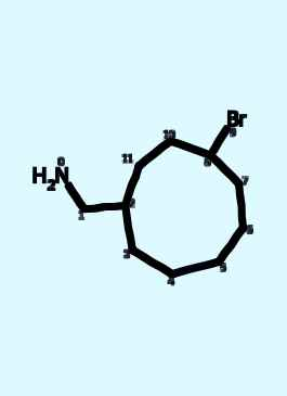 NCC1CCCCCC(Br)CC1